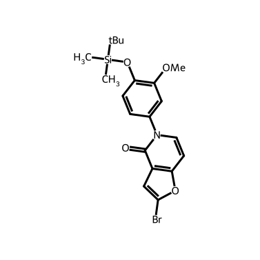 COc1cc(-n2ccc3oc(Br)cc3c2=O)ccc1O[Si](C)(C)C(C)(C)C